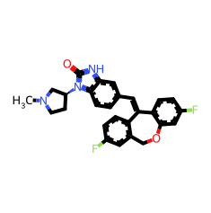 CN1CC[C@H](n2c(=O)[nH]c3cc(/C=C4\c5ccc(F)cc5COc5cc(F)ccc54)ccc32)C1